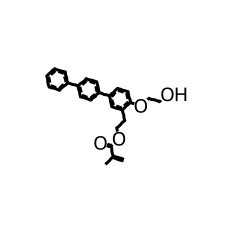 C=C(C)C(=O)OCCc1cc(-c2ccc(-c3ccccc3)cc2)ccc1OCCO